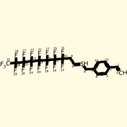 C=Cc1ccc(C[SH]=CCC(F)(F)C(F)(F)C(F)(F)C(F)(F)C(F)(F)C(F)(F)C(F)(F)C(F)(F)F)cc1